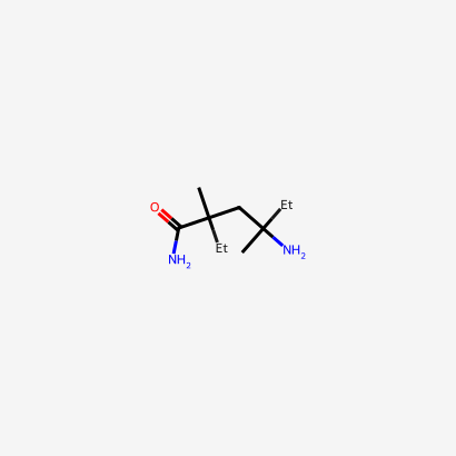 CCC(C)(N)CC(C)(CC)C(N)=O